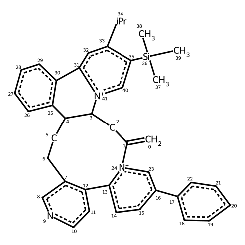 C=C1CC2C(CCc3cnccc3-c3ccc(-c4ccccc4)c[n+]31)c1ccccc1-c1cc(C(C)C)c([Si](C)(C)C)c[n+]12